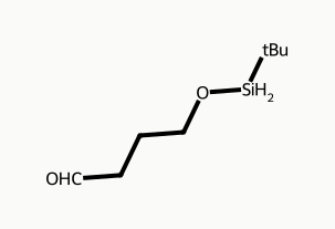 CC(C)(C)[SiH2]OCCCC=O